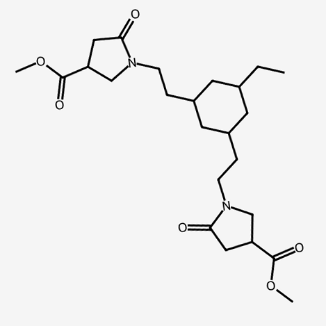 CCC1CC(CCN2CC(C(=O)OC)CC2=O)CC(CCN2CC(C(=O)OC)CC2=O)C1